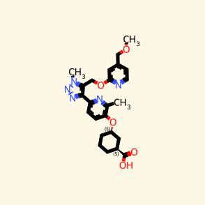 COCc1ccnc(OCc2c(-c3ccc(O[C@H]4CCC[C@H](C(=O)O)C4)c(C)n3)nnn2C)c1